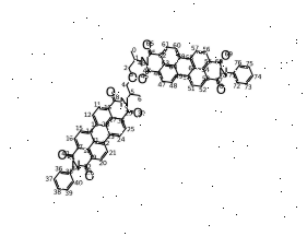 CC(COCC(C)N1C(=O)c2ccc3c4ccc5c6c(ccc(c7ccc(c2c37)C1=O)c64)C(=O)N(c1ccccc1)C5=O)N1C(=O)c2ccc3c4ccc5c6c(ccc(c7ccc(c2c37)C1=O)c64)C(=O)N(c1ccccc1)C5=O